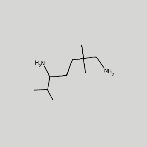 CC(C)C(N)CCC(C)(C)CN